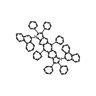 c1ccc(-c2c3cc4c(-c5ccccc5)c(-c5ccccc5)n(-c5cc6ccccc6c6ccccc56)c4cc3c(-c3ccccc3)c3cc4c(-c5ccccc5)c(-c5ccccc5)n(-c5cc6ccccc6c6ccccc56)c4cc23)cc1